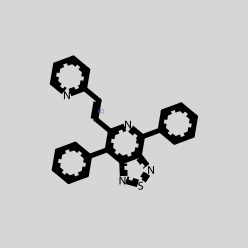 C(=C\c1nc(-c2ccccc2)c2nsnc2c1-c1ccccc1)/c1ccccn1